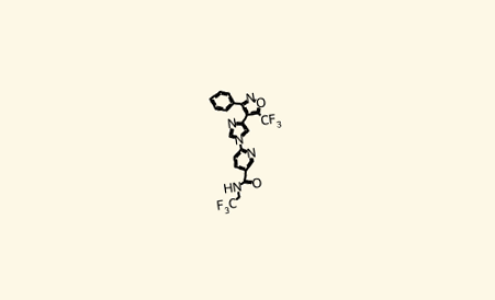 O=C(NCC(F)(F)F)c1ccc(-n2cnc(-c3c(-c4ccccc4)noc3C(F)(F)F)c2)nc1